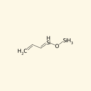 C=CC=[SiH]O[SiH3]